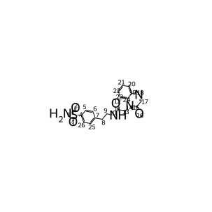 NS(=O)(=O)c1ccc(CCNC(=O)Cn2c(=O)cnc3ccccc32)cc1